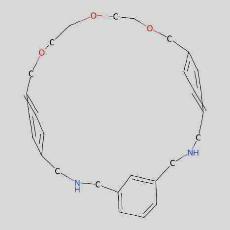 c1cc2cc(c1)CNCc1ccc(cc1)COCCOCCOCc1ccc(cc1)CNC2